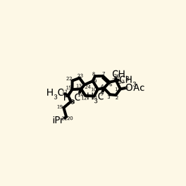 CC(=O)OC1CCC2(C)C(=CCC3C2CCC2(C)C(C(C)CCCC(C)C)CCC32)C1(C)C